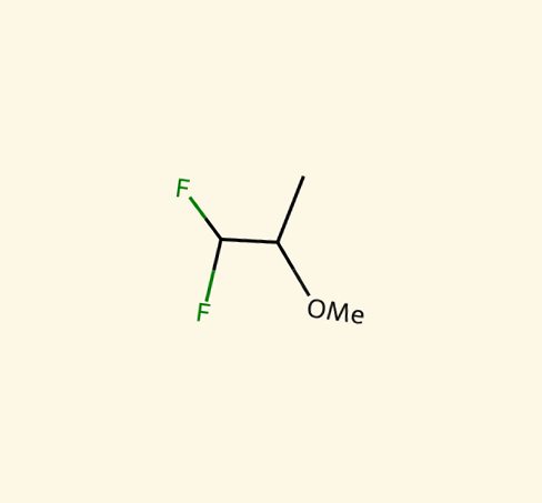 COC(C)C(F)F